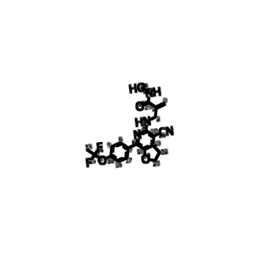 C=C(CNc1nc(-c2ccc(OC(C)(F)F)cc2)c2c(c1C#N)CCO2)C(=O)NO